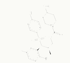 C[C@H](COC(=O)N1CCC(O)CC1)[C@@H](c1cc(F)ccc1F)S(=O)(=O)c1ccc(Cl)cc1